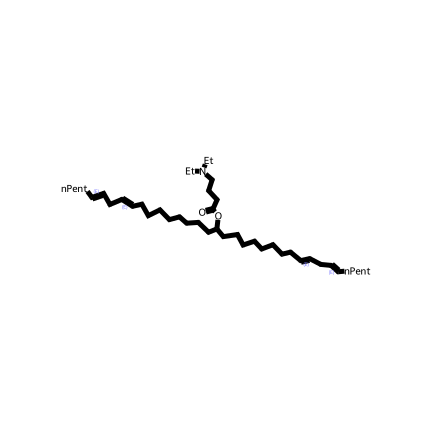 CCCCC/C=C/C/C=C/CCCCCCCCC(CCCCCCCC/C=C/C/C=C/CCCCC)OC(=O)CCCN(CC)CC